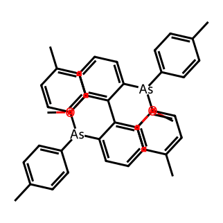 COc1cccc([As](c2ccc(C)cc2)c2ccc(C)cc2)c1-c1c(OC)cccc1[As](c1ccc(C)cc1)c1ccc(C)cc1